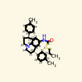 CCCSC(=O)Nc1cc2c3c(c1)[C@H](c1ccc(C)cc1)CCN3CC[C@H]2c1ccc(C)cc1